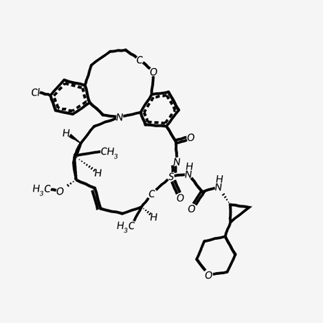 CO[C@@]12/C=C/C[C@H](C)CS(=O)(NC(=O)N[C@@H]3CC3C3CCOCC3)=NC(=O)c3ccc4c(c3)N(Cc3ccc(Cl)cc3CCCCO4)C[C@H](C1)[C@H]2C